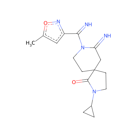 Cc1cc(C(=N)N2CCC3(CCN(C4CC4)C3=O)CC2=N)no1